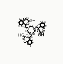 OC1COc2ccccc2C(CN2CCN(CC3OC(O)COc4ccccc43)CCN(CC3OC(O)COc4ccccc43)CC2)O1